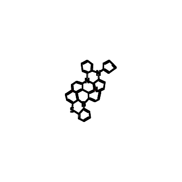 c1ccc(N2c3ccccc3N(c3ccccc3-c3ncccc3B3c4ccccc4Sc4ccccc43)c3ccccc32)cc1